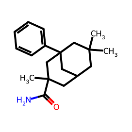 CC1(C)CC2CC(C)(C(N)=O)CC(c3ccccc3)(C2)C1